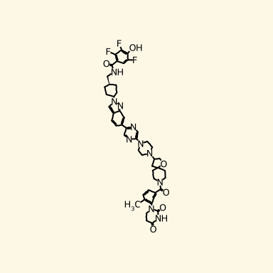 Cc1ccc(C(=O)N2CCC3(CC2)CC(N2CCN(c4cnc(-c5ccc6cn([C@H]7CC[C@H](CNC(=O)c8cc(F)c(O)c(F)c8F)CC7)nc6c5)cn4)CC2)CO3)cc1N1CCC(=O)NC1=O